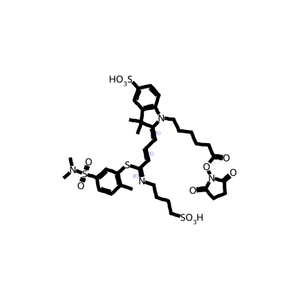 Cc1ccc(S(=O)(=O)N(C)C)cc1SC(/C=C/C=C1/N(CCCCCC(=O)ON2C(=O)CCC2=O)c2ccc(S(=O)(=O)O)cc2C1(C)C)=N/CCCCS(=O)(=O)O